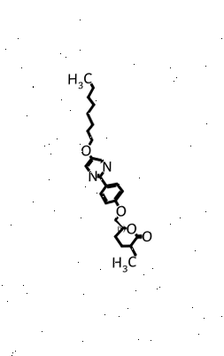 CCCCCCCCOc1cnc(-c2ccc(OC[C@@H]3CCC(CC)C(=O)O3)cc2)nc1